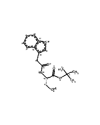 CC(C)(C)OC(=O)[C@H](CO)NC(=O)Cc1csc2ccccc12